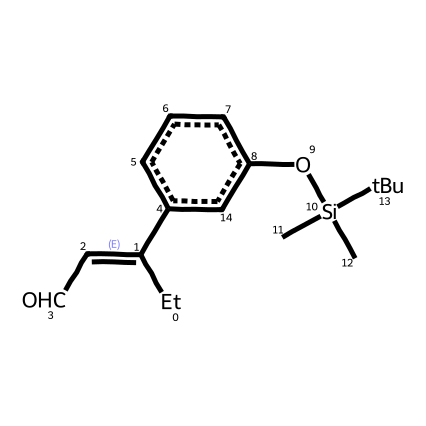 CC/C(=C\C=O)c1cccc(O[Si](C)(C)C(C)(C)C)c1